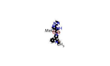 COc1cnc(-c2cnccn2)c2[nH]cc(C(=O)C(=O)N3CCC(=C(c4ccccc4)c4csc(C)n4)CC3)c12